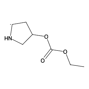 CCOC(=O)OC1C[CH]NC1